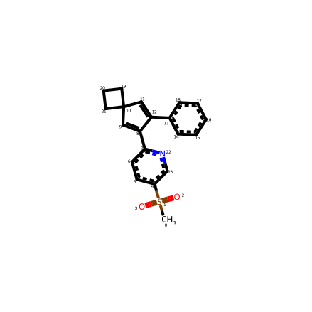 CS(=O)(=O)c1ccc(C2=CC3(C=C2c2ccccc2)CCC3)nc1